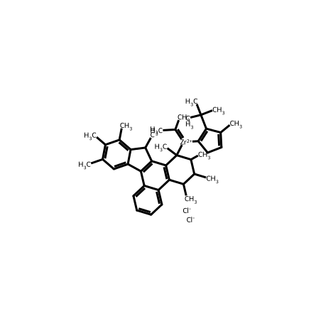 CC1=CC[C]([Zr+2](=[C](C)C)[C]2(C)c3c4c(c5ccccc5c3C(C)C(C)C2C)-c2cc(C)c(C)c(C)c2C4C)=C1C(C)(C)C.[Cl-].[Cl-]